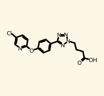 O=C(O)CCCn1nnc(-c2ccc(Oc3ccc(Cl)cn3)cc2)n1